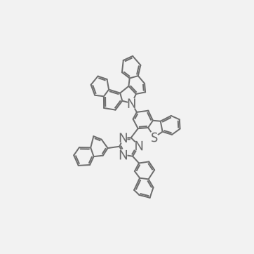 c1ccc2cc(-c3nc(-c4ccc5ccccc5c4)nc(-c4cc(-n5c6ccc7ccccc7c6c6c7ccccc7ccc65)cc5c4sc4ccccc45)n3)ccc2c1